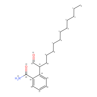 CCCCCCCCCCCC(C=O)c1ccccc1C(N)=O